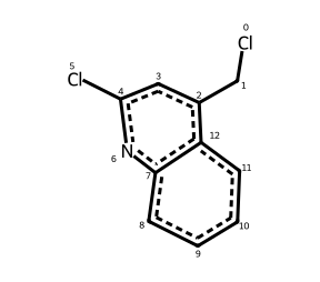 ClCc1cc(Cl)nc2ccccc12